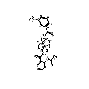 CC(=O)Oc1ccccc1C(=O)OC1CO[C@H]2[C@@H]1OC[C@H]2OC(=O)c1cccc(C)c1